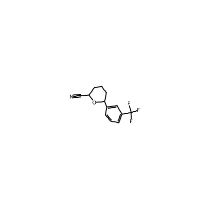 N#CC1CCCC(c2cccc(C(F)(F)F)c2)O1